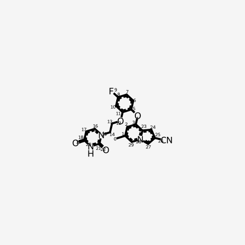 Cc1cc(Oc2ccc(F)cc2OCCn2ccc(=O)[nH]c2=O)c2cc(C#N)cn2c1